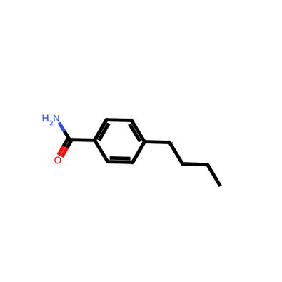 CCC[CH]c1ccc(C(N)=O)cc1